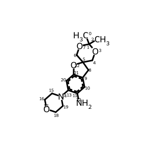 CC1(C)OCC2(CO1)Cc1cc(N)c(N3CCOCC3)cc1O2